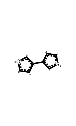 c1cc(-c2ccsc2)co1